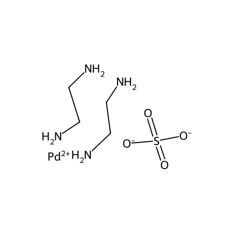 NCCN.NCCN.O=S(=O)([O-])[O-].[Pd+2]